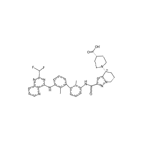 Cc1c(NC(=O)c2cc3n(n2)CCC[C@H]3N2CCC(C(=O)O)CC2)cccc1-c1cccc(Nc2nc(C(F)F)nc3cccnc23)c1C